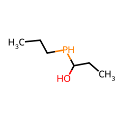 CCCPC(O)CC